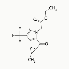 CCOC(=O)Cn1nc(C(F)(F)F)c2c1C(=O)C1C(C)C21